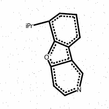 CC(C)c1cccc2c1oc1ccncc12